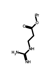 CC(C)OC(=O)CCNC(=N)N